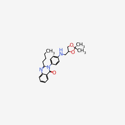 CCCCc1nc2ccccc2c(=O)n1-c1ccc(NCC2COC(C)(C)O2)cc1